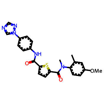 COc1ccc(N(C)C(=O)c2ccc(C(=O)Nc3ccc(-n4cncn4)cc3)s2)c(C)c1